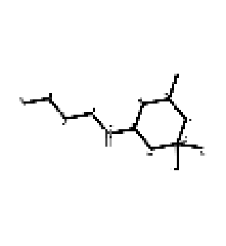 CCCCNC1CC(C)CC(C)(C)C1